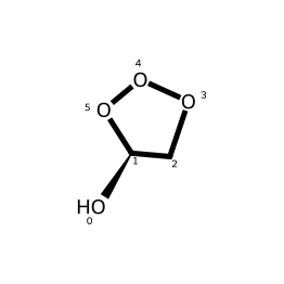 O[C@@H]1COOO1